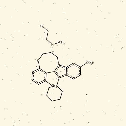 Cc1cccc2c1-c1c(C3CCCCC3)c3ccc(C(=O)O)cc3n1C[C@@H](N(C)CCCl)CO2